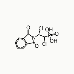 O=C1c2ccccc2C(=O)N1C(Cl)C(Cl)P(=O)(O)O